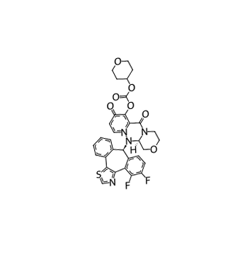 O=C(Oc1c2n(ccc1=O)N([C@@H]1c3ccccc3-c3scnc3-c3c1ccc(F)c3F)[C@@H]1COCCN1C2=O)OC1CCOCC1